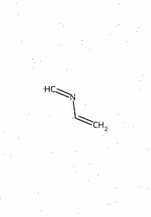 [CH]=N[C]=C